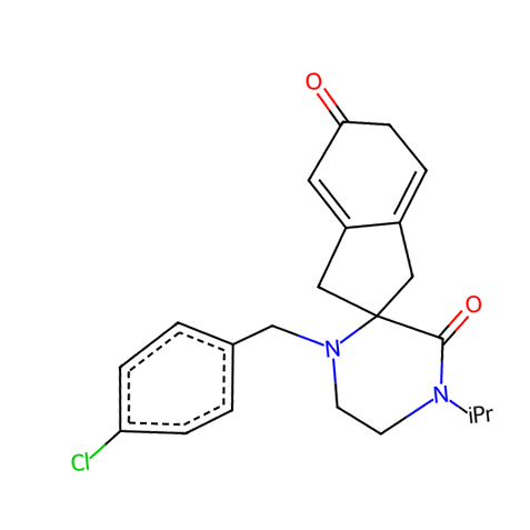 CC(C)N1CCN(Cc2ccc(Cl)cc2)C2(CC3=CCC(=O)C=C3C2)C1=O